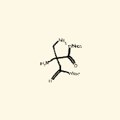 CCCCCCCCCC(=O)C(N)(CN)C(=O)CCCCCCCCC